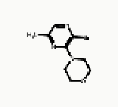 Cc1cnc(Br)c(N2CCOCC2)n1